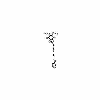 COC1=C(OC)C(=O)C(CCCCCCCCCCOc2cccnc2)=C(C)C1=O